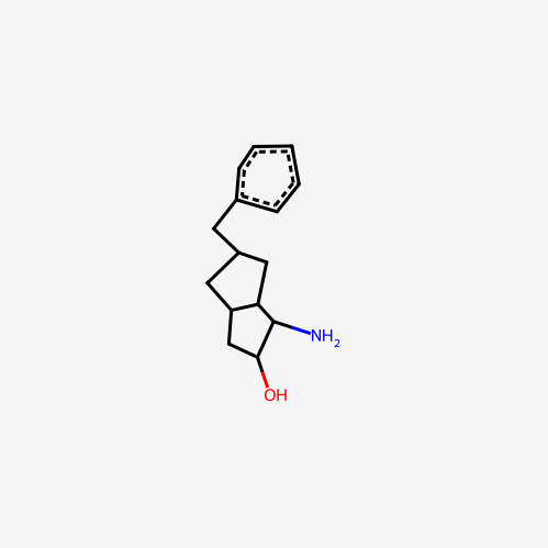 NC1C(O)CC2CC(Cc3ccccc3)CC21